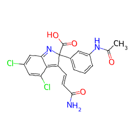 CC(=O)Nc1cccc(C2(C(=O)O)N=c3cc(Cl)cc(Cl)c3=C2C=CC(N)=O)c1